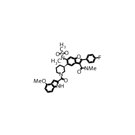 CNC(=O)c1c(-c2ccc(F)cc2)oc2cc(N(C)S(C)(=O)=O)c([C@@H]3CCCN(C(=O)c4cc5c(OC)cccc5[nH]4)C3)cc12